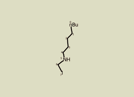 CCCCCCCCNCI